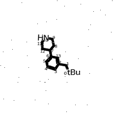 CC(C)(C)Cc1cccc(C2CCNCC2)c1